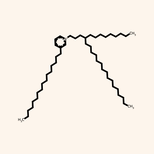 CCCCCCCCCCCCCCCCc1ccc[n+](CCCC(CCCCCCCCC)CCCCCCCCCCCCCCCC)c1